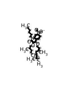 CCCCCCn1c(=O)c(OCC(C)CCC)c(OCC=C(C)CCC=C(C)C)c2ccc([N+](=O)[O-])cc21